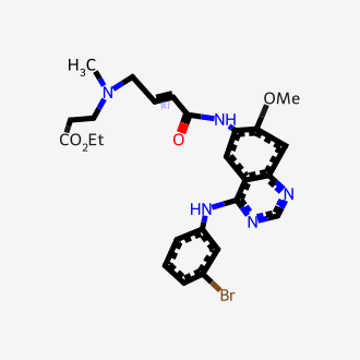 CCOC(=O)CCN(C)C/C=C/C(=O)Nc1cc2c(Nc3cccc(Br)c3)ncnc2cc1OC